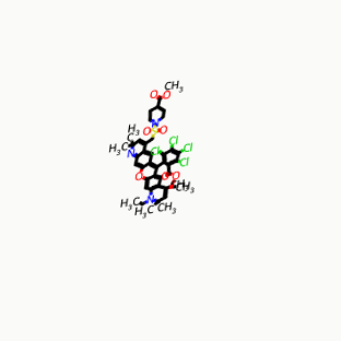 CCOC(=O)c1c(Cl)c(Cl)c(Cl)c(Cl)c1C1=c2cc3c(cc2Oc2cc4c(cc21)C(C)=CC(C)(C)N4CC)=NC(C)(C)C=C3CS(=O)(=O)N1CCC(C(=O)OC)CC1